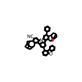 N#Cc1cc2c(c3c1C1CC4CC5CC3CC45C1)c1cc(-c3cccc4oc5ccccc5c34)cc3c4c5c(c(-c6ccccc6)cc4n2c13)C1CC2CC(C1)CC5C2